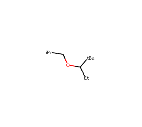 CCC(OCC(C)C)C(C)(C)C